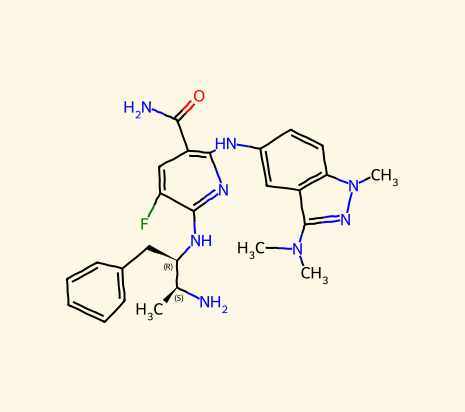 C[C@H](N)[C@@H](Cc1ccccc1)Nc1nc(Nc2ccc3c(c2)c(N(C)C)nn3C)c(C(N)=O)cc1F